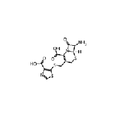 NC1C(=O)N2C(C(=O)O)=C(CSc3scnc3C(=O)O)CS[C@H]12